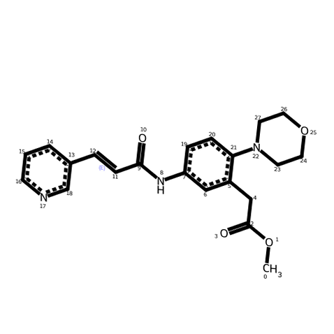 COC(=O)Cc1cc(NC(=O)/C=C/c2cccnc2)ccc1N1CCOCC1